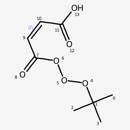 CC(C)(C)OOOC(=O)/C=C\C(=O)O